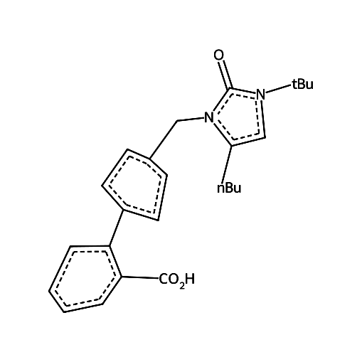 CCCCc1cn(C(C)(C)C)c(=O)n1Cc1ccc(-c2ccccc2C(=O)O)cc1